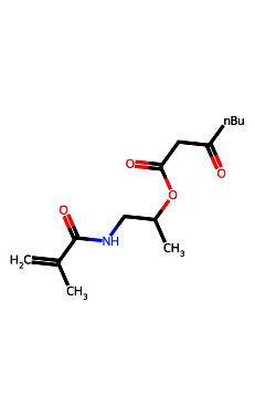 C=C(C)C(=O)NCC(C)OC(=O)CC(=O)CCCC